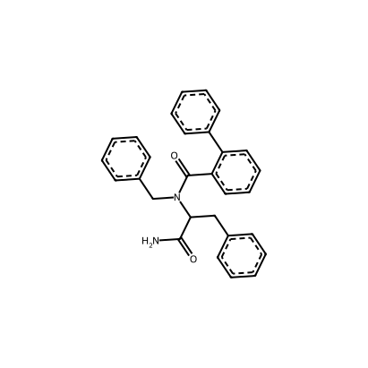 NC(=O)C(Cc1ccccc1)N(Cc1ccccc1)C(=O)c1ccccc1-c1ccccc1